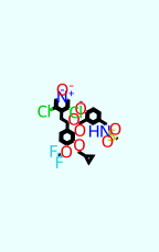 COc1ccc(CNS(C)(=O)=O)cc1C(=O)OC(Cc1c(Cl)c[n+]([O-])cc1Cl)c1ccc(OC(F)F)c(OCC2CC2)c1